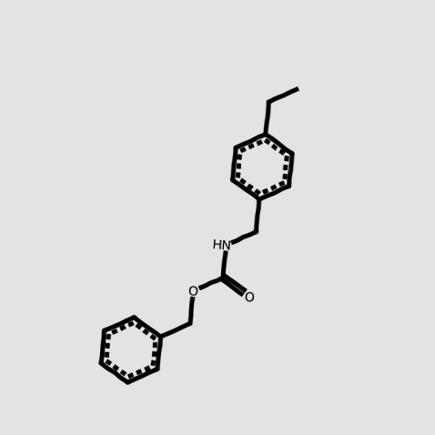 CCc1ccc(CNC(=O)OCc2ccccc2)cc1